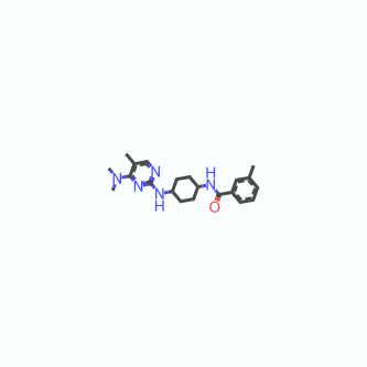 Cc1cccc(C(=O)NC2CCC(Nc3ncc(C)c(N(C)C)n3)CC2)c1